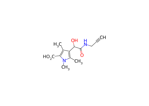 C#CCNC(=O)C(O)c1c(C)c(C(=O)O)n(C)c1C